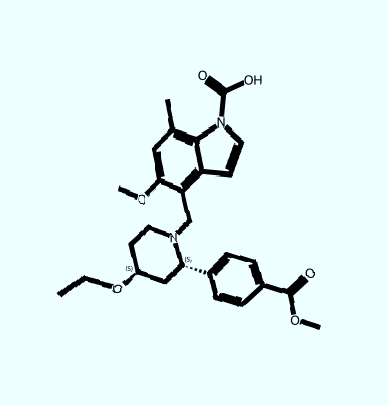 CCO[C@H]1CCN(Cc2c(OC)cc(C)c3c2ccn3C(=O)O)[C@H](c2ccc(C(=O)OC)cc2)C1